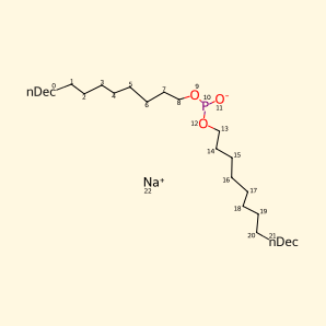 CCCCCCCCCCCCCCCCCCOP([O-])OCCCCCCCCCCCCCCCCCC.[Na+]